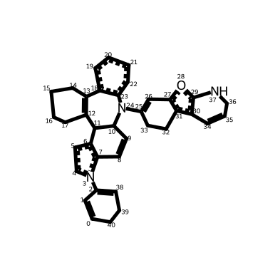 C1=CC(n2ccc3c2C=CC2C3C3=C(CCCC3)c3ccccc3N2C2=Cc3oc4c(c3CC2)C=CCN4)=CCC1